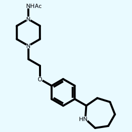 CC(=O)NN1CCN(CCOc2ccc(C3CCCCCN3)cc2)CC1